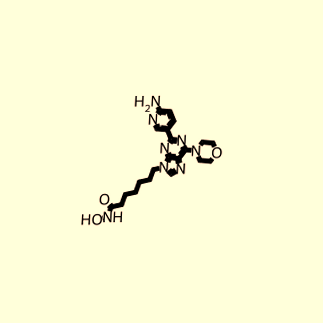 Nc1ccc(-c2nc(N3CCOCC3)c3ncn(CCCCCCC(=O)NO)c3n2)cn1